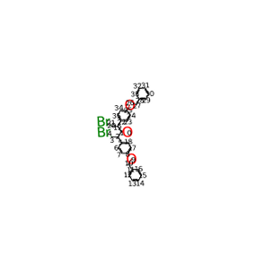 O=C(C(CBr)c1ccc(OCc2ccccc2)cc1)C(CBr)c1ccc(OCc2ccccc2)cc1